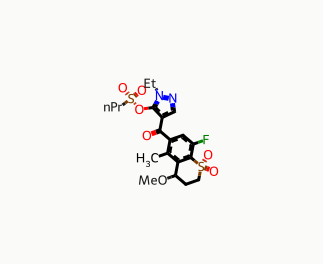 CCCS(=O)(=O)Oc1c(C(=O)c2cc(F)c3c(c2C)C(OC)CCS3(=O)=O)cnn1CC